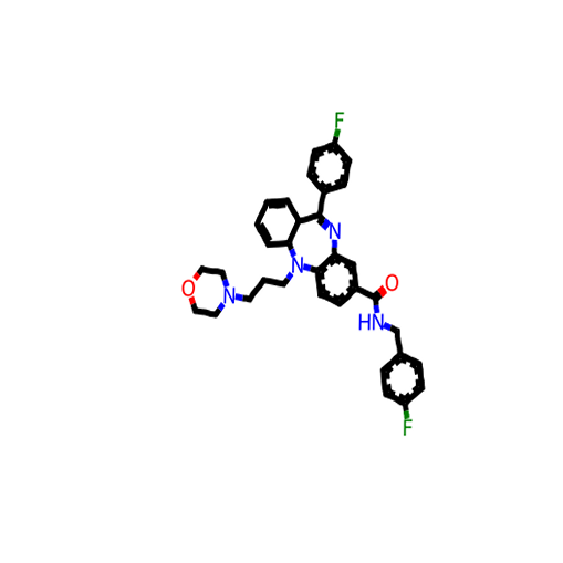 O=C(NCc1ccc(F)cc1)c1ccc2c(c1)N=C(c1ccc(F)cc1)C1C=CC=CC1N2CCCN1CCOCC1